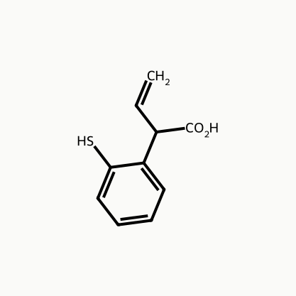 C=CC(C(=O)O)c1ccccc1S